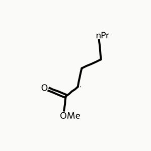 CCCCC[CH]C(=O)OC